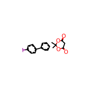 CC1(C)OC(=O)CC(=O)O1.Ic1ccc(-c2ccccc2)cc1